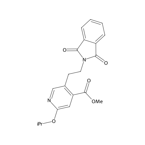 COC(=O)c1cc(OC(C)C)ncc1CCN1C(=O)c2ccccc2C1=O